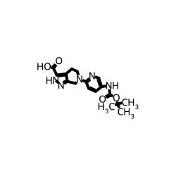 CC(C)(C)OC(=O)Nc1ccc(N2CCc3c(n[nH]c3C(=O)O)C2)nc1